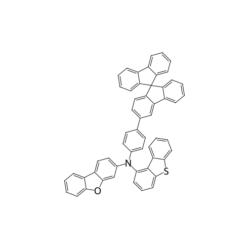 c1ccc2c(c1)-c1ccccc1C21c2ccccc2-c2cc(-c3ccc(N(c4ccc5c(c4)oc4ccccc45)c4cccc5sc6ccccc6c45)cc3)ccc21